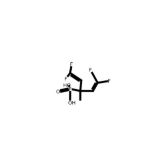 CC(C=C(F)F)(C=C(F)F)P(=O)(O)O